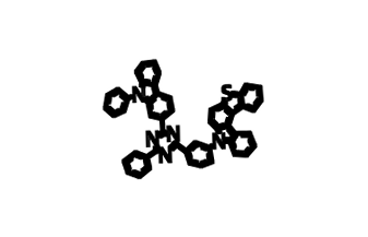 c1ccc(-c2nc(-c3cccc(-n4c5ccccc5c5c6c(ccc54)sc4ccccc46)c3)nc(-c3ccc4c5ccccc5n(-c5ccccc5)c4c3)n2)cc1